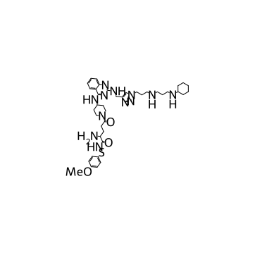 COc1ccc(SNC(=O)C(N)CCC(=O)N2CCC(Nc3nc(NCc4cn(CCCNCCCNC5CCCCC5)nn4)nc4ccccc34)CC2)cc1